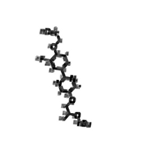 CCCCCCCCCCCOc1ccc(-c2ncc(OCC(C)OCCCC)cn2)cc1F